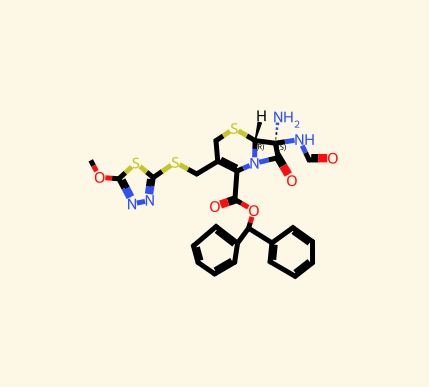 COc1nnc(SCC2=C(C(=O)OC(c3ccccc3)c3ccccc3)N3C(=O)[C@](N)(NC=O)[C@H]3SC2)s1